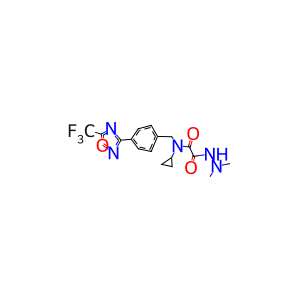 CN(C)NC(=O)C(=O)N(Cc1ccc(-c2noc(C(F)(F)F)n2)cc1)C1CC1